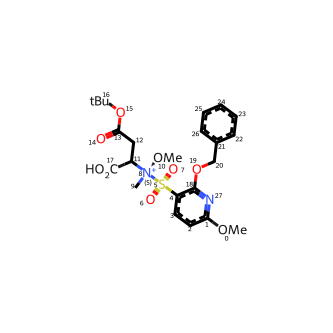 COc1ccc(S(=O)(=O)[N@+](C)(OC)C(CC(=O)OC(C)(C)C)C(=O)O)c(OCc2ccccc2)n1